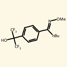 CCCCC(=NOC)c1ccc(C(O)(C(F)(F)F)C(F)(F)F)cc1